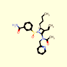 C=CC1=C(N(Cc2ccccn2)C(C)=O)N([S+]([O-])c2cccc(C(N)=O)c2)[C@H]1CCCC